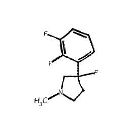 CN1CCC(F)(c2cccc(F)c2F)C1